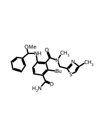 CCC(C)c1c(C(N)=O)ccc(NC(OC)c2ccccc2)c1C(=O)N(C)Cc1nc(C)cs1